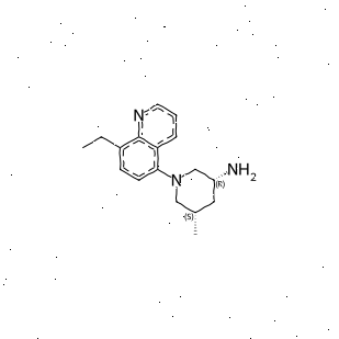 CCc1ccc(N2C[C@@H](C)C[C@@H](N)C2)c2cccnc12